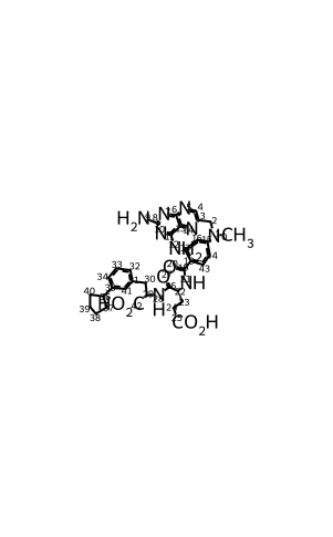 CN(Cc1cnc2nc(N)nc(N)c2n1)c1ccc(C(=O)N[C@@H](CCC(=O)O)C(=O)N[C@@H](Cc2cccc(C3CCCC3)c2)C(=O)O)cc1